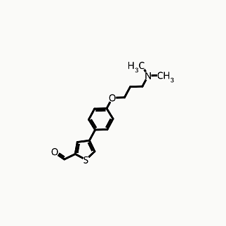 CN(C)CCCOc1ccc(-c2csc(C=O)c2)cc1